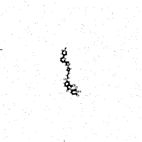 CN1CCC(c2cccc(-c3cnn([C@H]4C[C@H](CCCNc5ccc6c(c5)C(=O)N(C5CCC(=O)NC5=O)C6=O)C4)c3)n2)CC1